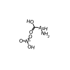 N[AsH]C(=O)O.O=[N+]([O-])O